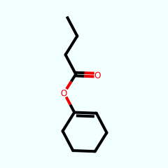 CCCC(=O)OC1=CCCCC1